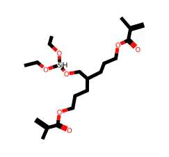 C=C(C)C(=O)OCCCC(CCCOC(=O)C(=C)C)CO[SiH](OCC)OCC